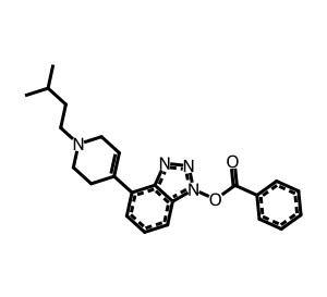 CC(C)CCN1CC=C(c2cccc3c2nnn3OC(=O)c2ccccc2)CC1